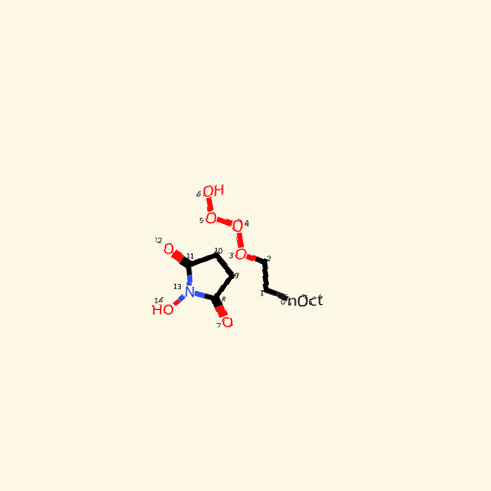 CCCCCCCCCCOOOO.O=C1CCC(=O)N1O